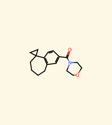 O=C(c1ccc2c(c1)CCCCC21CC1)N1CCOCC1